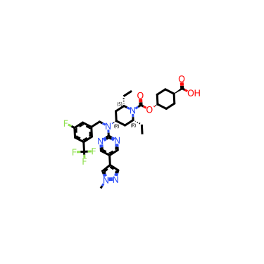 CC[C@@H]1C[C@H](N(Cc2cc(F)cc(C(F)(F)F)c2)c2ncc(-c3cnn(C)c3)cn2)C[C@H](CC)N1C(=O)O[C@H]1CC[C@H](C(=O)O)CC1